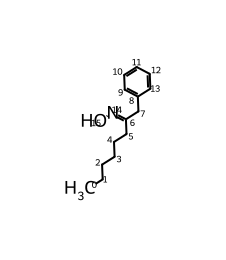 CCCCCCC(Cc1ccccc1)=NO